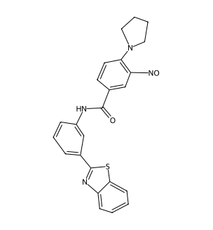 O=Nc1cc(C(=O)Nc2cccc(-c3nc4ccccc4s3)c2)ccc1N1CCCC1